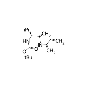 C=CC(=C)NC(=C)[C@@H](NC(=O)OC(C)(C)C)C(C)C